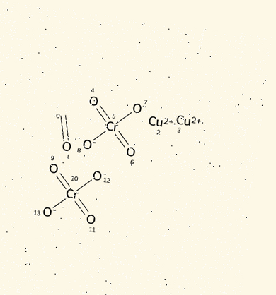 C=O.[Cu+2].[Cu+2].[O]=[Cr](=[O])([O-])[O-].[O]=[Cr](=[O])([O-])[O-]